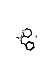 C[SiH](Cc1ccccc1)C1CCCCO1.[H+]